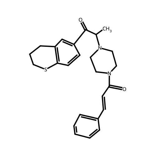 CC(C(=O)c1ccc2c(c1)CCCS2)N1CCN(C(=O)C=Cc2ccccc2)CC1